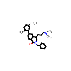 Cc1ccc(C(=O)O)cc1-c1ccc2c(=O)n(Cc3ccccc3)cc(CCCN(C)C)c2c1